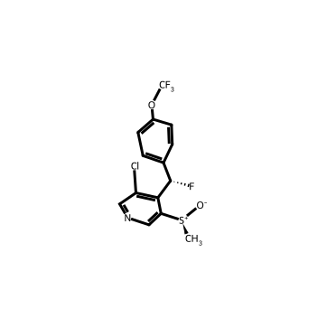 C[S@+]([O-])c1cncc(Cl)c1[C@@H](F)c1ccc(OC(F)(F)F)cc1